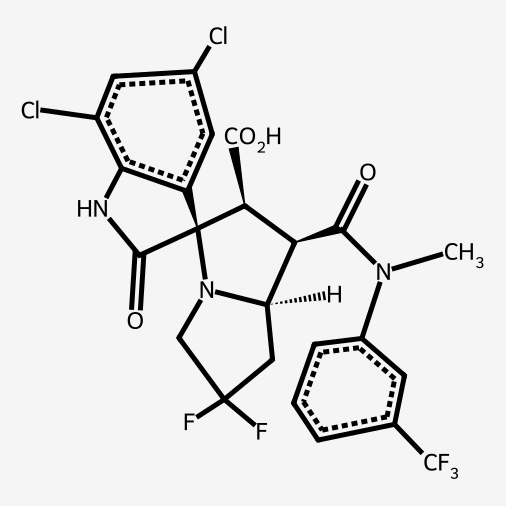 CN(C(=O)[C@H]1[C@H]2CC(F)(F)CN2[C@]2(C(=O)Nc3c(Cl)cc(Cl)cc32)[C@H]1C(=O)O)c1cccc(C(F)(F)F)c1